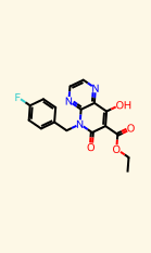 CCOC(=O)c1c(O)c2nccnc2n(Cc2ccc(F)cc2)c1=O